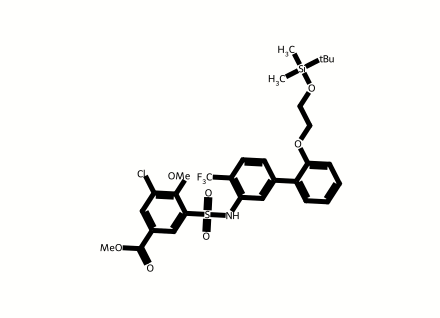 COC(=O)c1cc(Cl)c(OC)c(S(=O)(=O)Nc2cc(-c3ccccc3OCCO[Si](C)(C)C(C)(C)C)ccc2C(F)(F)F)c1